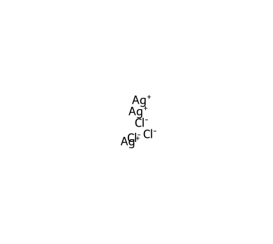 [Ag+].[Ag+].[Ag+].[Cl-].[Cl-].[Cl-]